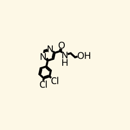 O=C(NCCO)c1cc(-c2ccc(Cl)c(Cl)c2)ncn1